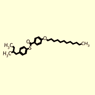 CCCCCCCCCCCCOc1ccc(C(=O)Sc2ccc(CC(C)CC)cc2)cc1